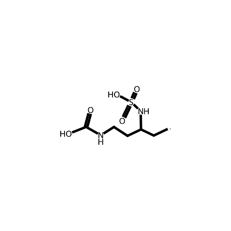 [CH2]CC(CCNC(=O)O)NS(=O)(=O)O